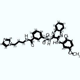 COc1ccc(Cl)c(Nc2nc3ccccc3nc2NS(=O)(=O)c2cccc(C(=O)NCCCn3ccnc3)c2)c1